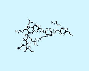 CCCC(=O)N[C@@H](CCN)C(=O)NCC(=O)N[C@@H](CCN)C(=O)NCC(=O)N[C@@H](CC(C)C)C(=O)NC(CCN)C(=O)N[C@@H](CCN)C(=O)NC(C(=O)NCC)[C@@H](C)O